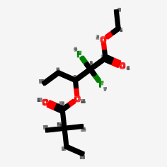 CCOC(=O)C(F)(F)C(CC)OC(=O)C(C)(C)CC